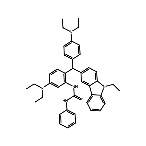 CCN(CC)c1ccc(C(c2ccc3c(c2)c2ccccc2n3CC)c2ccc(N(CC)CC)cc2NC(=S)Nc2ccccc2)cc1